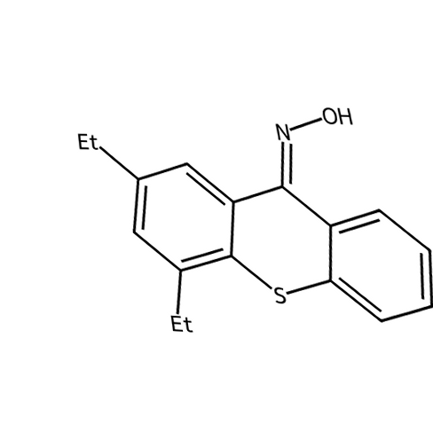 CCc1cc(CC)c2sc3ccccc3c(=NO)c2c1